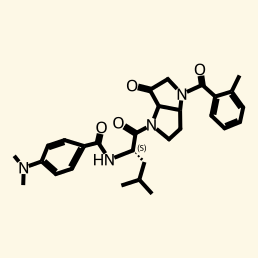 Cc1ccccc1C(=O)N1CC(=O)C2C1CCN2C(=O)[C@H](CC(C)C)NC(=O)c1ccc(N(C)C)cc1